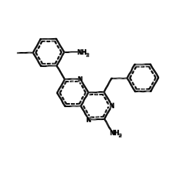 Cc1ccc(N)c(-c2ccc3nc(N)nc(Cc4ccccc4)c3n2)c1